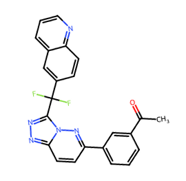 CC(=O)c1cccc(-c2ccc3nnc(C(F)(F)c4ccc5ncccc5c4)n3n2)c1